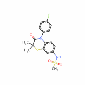 CC1(C)Sc2cc(NS(C)(=O)=O)ccc2N(c2ccc(F)cc2)C1=O